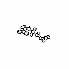 c1ccc2c(c1)-c1ccccc1C21c2ccccc2-c2ccc(-c3c4ccccc4c(-c4ccc(-c5ccc6oc7cc8ccccc8cc7c6c5)nc4)c4ccccc34)cc21